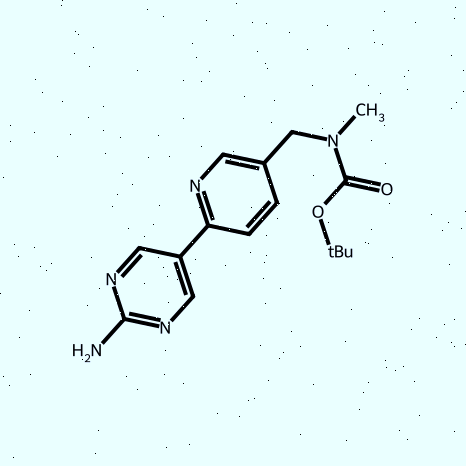 CN(Cc1ccc(-c2cnc(N)nc2)nc1)C(=O)OC(C)(C)C